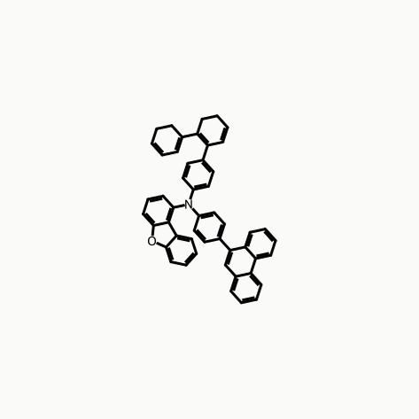 C1=CCCC(C2=C(c3ccc(N(c4ccc(-c5cc6ccccc6c6ccccc56)cc4)c4cccc5oc6ccccc6c45)cc3)C=CCC2)=C1